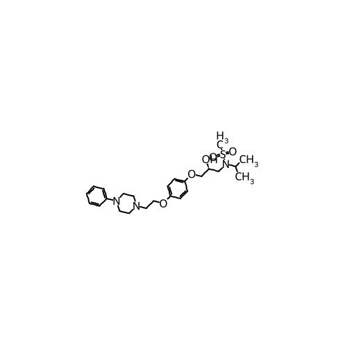 CC(C)N(C[C@H](O)COc1ccc(OCCN2CCN(c3ccccc3)CC2)cc1)S(C)(=O)=O